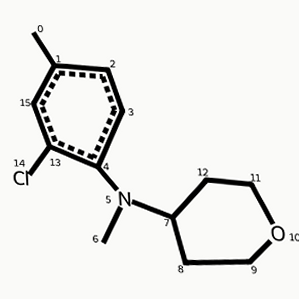 Cc1ccc(N(C)C2CCOCC2)c(Cl)c1